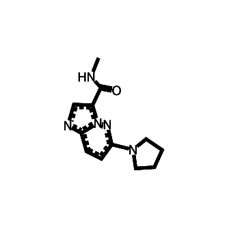 CNC(=O)c1cnc2ccc(N3CCCC3)nn12